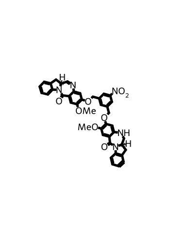 COc1cc2c(cc1OCc1cc(COc3cc4c(cc3OC)C(=O)N3c5ccc#cc5C[C@H]3CN4)cc([N+](=O)[O-])c1)N=C[C@@H]1Cc3ccccc3N1C2=O